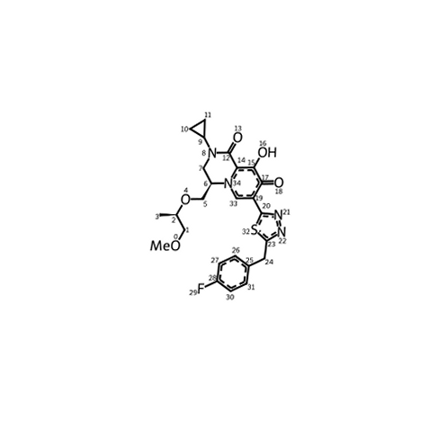 COC[C@@H](C)OC[C@H]1CN(C2CC2)C(=O)c2c(O)c(=O)c(-c3nnc(Cc4ccc(F)cc4)s3)cn21